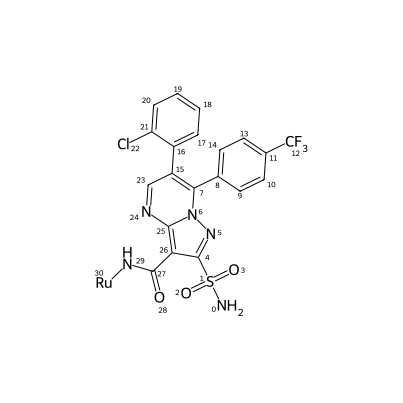 NS(=O)(=O)c1nn2c(-c3ccc(C(F)(F)F)cc3)c(-c3ccccc3Cl)cnc2c1C(=O)[NH][Ru]